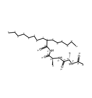 CCCCCCCCC(CCCCCC)C(=O)NC(=O)[C@H](C)NC(=O)[C@H](C)NC(C)=O